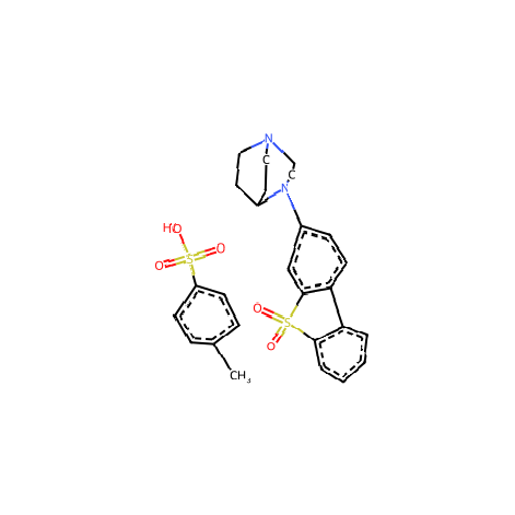 Cc1ccc(S(=O)(=O)O)cc1.O=S1(=O)c2ccccc2-c2ccc(N3CCN4CCC3CC4)cc21